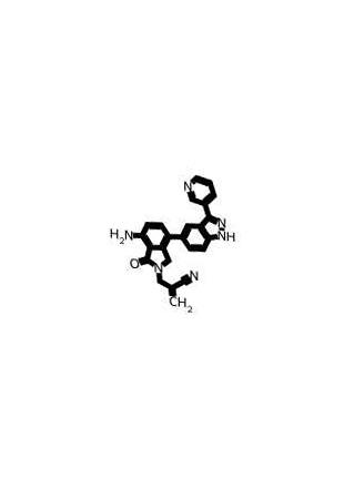 C=C(C#N)CN1Cc2c(-c3ccc4[nH]nc(-c5cccnc5)c4c3)ccc(N)c2C1=O